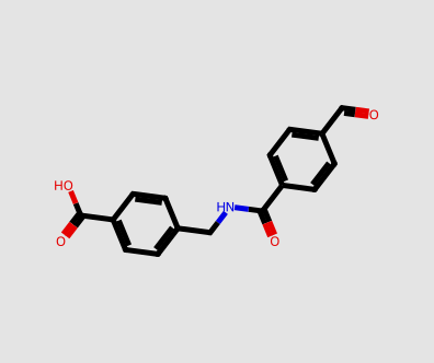 O=Cc1ccc(C(=O)NCc2ccc(C(=O)O)cc2)cc1